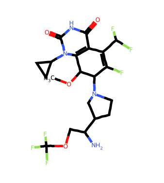 COC1c2c(c(=O)[nH]c(=O)n2C2CC2)C(C(F)F)=C(F)C1N1CCC(C(N)COC(F)(F)F)C1